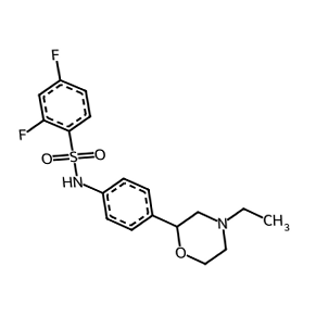 CCN1CCOC(c2ccc(NS(=O)(=O)c3ccc(F)cc3F)cc2)C1